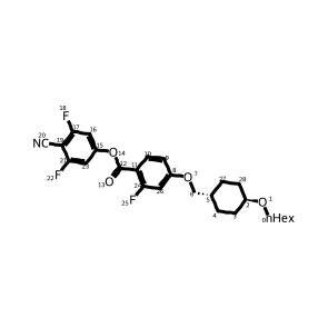 CCCCCCO[C@H]1CC[C@H](COc2ccc(C(=O)Oc3cc(F)c(C#N)c(F)c3)c(F)c2)CC1